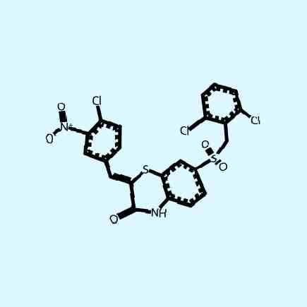 O=C1Nc2ccc(S(=O)(=O)Cc3c(Cl)cccc3Cl)cc2S/C1=C\c1ccc(Cl)c([N+](=O)[O-])c1